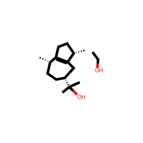 CCO.C[C@H]1CC[C@@H](C(C)(C)O)CC2=C1CC[C@@H]2C